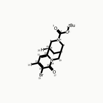 CC(C)(C)OC(=O)N1CC2C[C@@H](C1)c1cc(I)c(Br)c(=O)n1C2